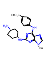 CCOC(=O)c1ccc(Nc2nc(N[C@H]3CC[C@H](N)CC3)nc3c2ncn3C(C)CC)cc1